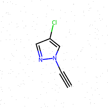 [C]#Cn1cc(Cl)cn1